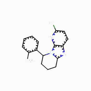 COc1ccccc1C1CCCc2nc3ccc(Br)nc3n21